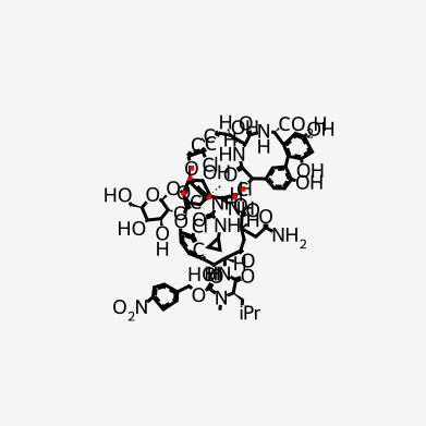 CC(C)C[C@H](C(=O)N[C@H]1C(=O)C[C@@H](CC(N)=O)C(=O)N[C@H]2C(=O)C[C@H]3C(=O)N[C@H](C(=O)N[C@H](C(=O)O)c4cc(O)cc(O)c4-c4cc3ccc4O)[C@H](O)c3ccc(c(Cl)c3)Oc3cc2cc(c3O[C@@H]2O[C@H](CO)[C@@H](O)[C@H](O)[C@H]2O[C@H]2C[C@](C)(NC(=O)NC3CC3)[C@H](O)[C@H](C)O2)Oc2ccc(cc2Cl)[C@H]1O)N(C)C(=O)OCc1ccc([N+](=O)[O-])cc1